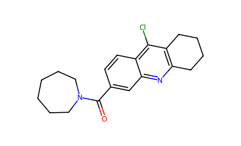 O=C(c1ccc2c(Cl)c3c(nc2c1)CCCC3)N1CCCCCC1